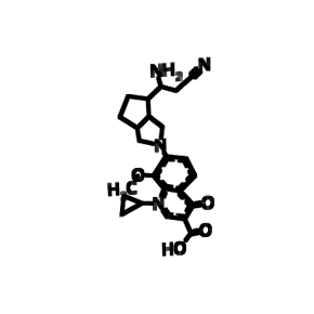 COc1c(N2CC3CCC(C(N)CC#N)C3C2)ccc2c(=O)c(C(=O)O)cn(C3CC3)c12